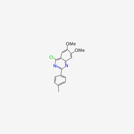 COc1cc2nc(-c3ccc(C)cc3)nc(Cl)c2cc1OC